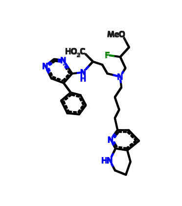 COCC(F)CN(CCCCc1ccc2c(n1)NCCC2)CCC(Nc1ncncc1-c1ccccc1)C(=O)O